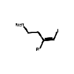 CNCC/C(=C\I)C(C)C